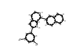 Fc1cc(F)cc(-c2cc3ccnc(-c4ccc5ccccc5c4)c3s2)c1